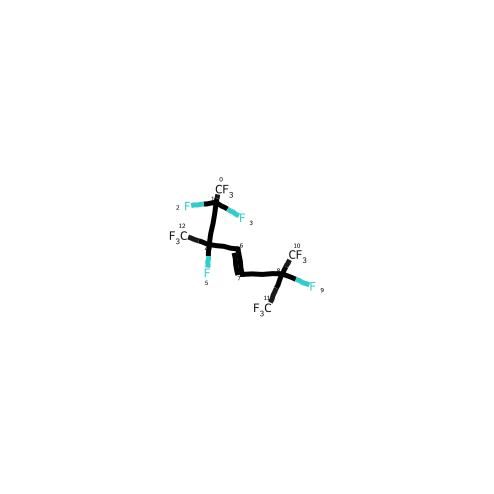 FC(F)(F)C(F)(F)C(F)(C=CC(F)(C(F)(F)F)C(F)(F)F)C(F)(F)F